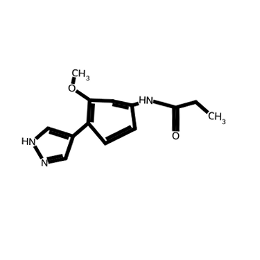 CCC(=O)Nc1ccc(-c2cn[nH]c2)c(OC)c1